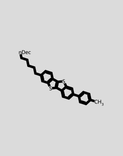 CCCCCCCCCCCCCCCc1ccc2c(c1)sc1c3ccc(-c4ccc(C)cc4)cc3sc21